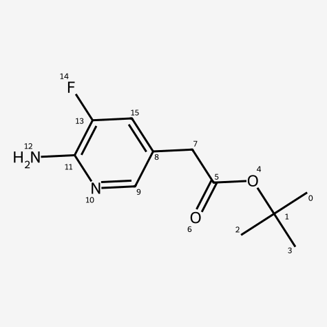 CC(C)(C)OC(=O)Cc1cnc(N)c(F)c1